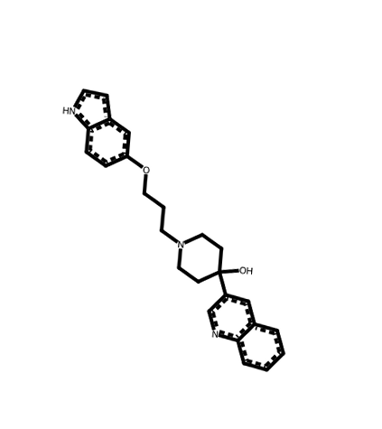 OC1(c2cnc3ccccc3c2)CCN(CCCOc2ccc3[nH]ccc3c2)CC1